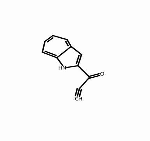 C#CC(=O)c1cc2ccccc2[nH]1